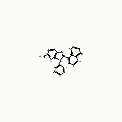 Nc1ncc2nc(-c3cccc4ccccc34)n(-c3ccccc3)c2n1